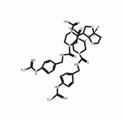 N=C(N)Nc1ccc(CNC(=O)N2CCN(C(=O)O)C(C3CO[C@@H]4CCO[C@@]34C3CN(C(=O)NCc4ccc(NC(=N)N)cc4)CCN3C(=O)O)C2)cc1